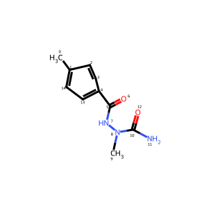 Cc1ccc(C(=O)NN(C)C(N)=O)cc1